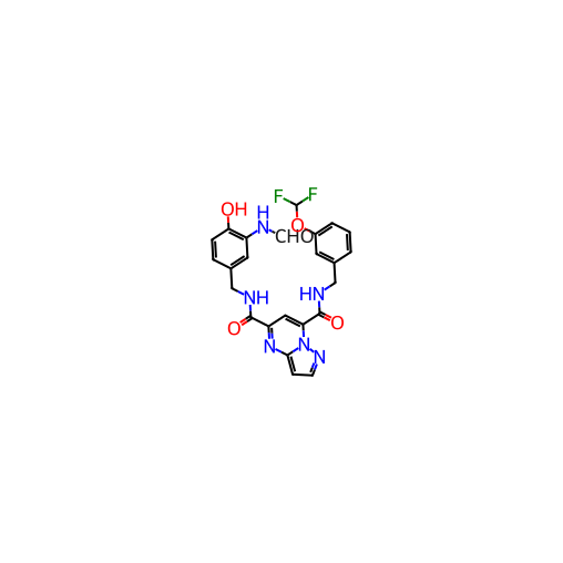 O=CNc1cc(CNC(=O)c2cc(C(=O)NCc3cccc(OC(F)F)c3)n3nccc3n2)ccc1O